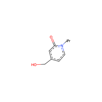 CC(C)n1ccc(CO)cc1=O